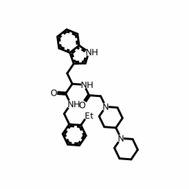 CCc1ccccc1CNC(=O)C(Cc1c[nH]c2ccccc12)NC(=O)CN1CCC(N2CCCCC2)CC1